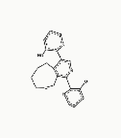 Oc1cccnc1-c1nnc(-c2ncccc2O)c2c1CCCCCC2